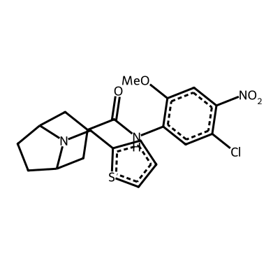 COc1cc([N+](=O)[O-])c(Cl)cc1NC(=O)C1CC2CCC(C1)N2Cc1cccs1